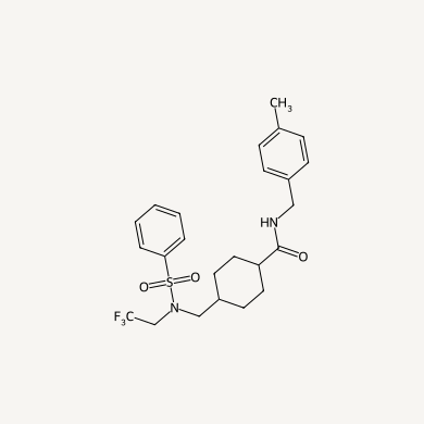 Cc1ccc(CNC(=O)C2CCC(CN(CC(F)(F)F)S(=O)(=O)c3ccccc3)CC2)cc1